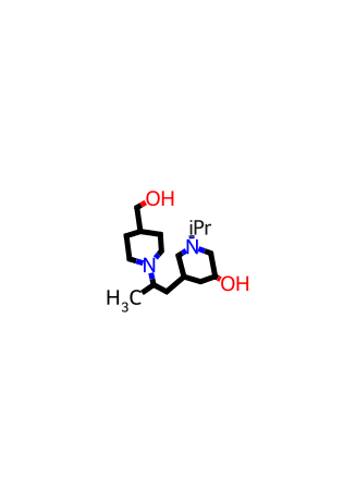 CC(C)N1CC(O)CC(CC(C)N2CCC(CO)CC2)C1